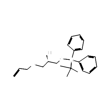 C=CCOC[C@@H](O)CO[Si](c1ccccc1)(c1ccccc1)C(C)(C)C